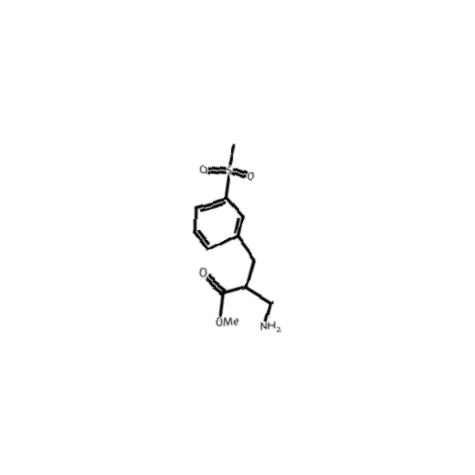 COC(=O)C(CN)Cc1cccc(S(C)(=O)=O)c1